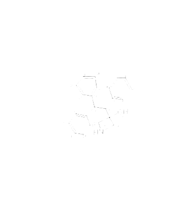 OC1(C(c2ccccc2)C(c2ccccc2)c2ccccc2)CNC1